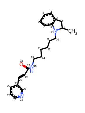 CC1Cc2ccccc2N1CCCCCCNC(=O)/C=C/c1cccnc1